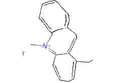 Cc1cccc2c1cc1ccccc1[n+]2C.[I-]